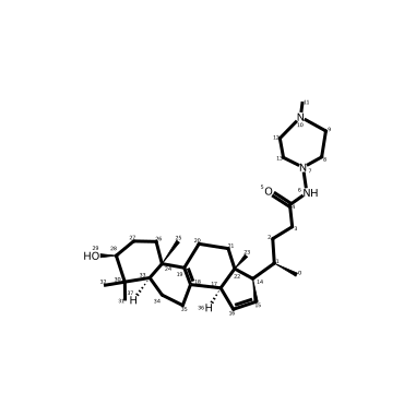 C[C@H](CCC(=O)NN1CCN(C)CC1)[C@H]1C=C[C@H]2C3=C(CC[C@]12C)[C@@]1(C)CC[C@H](O)C(C)(C)[C@@H]1CC3